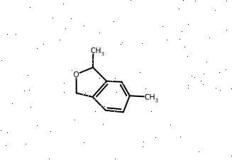 Cc1ccc2c(c1)C(C)OC2